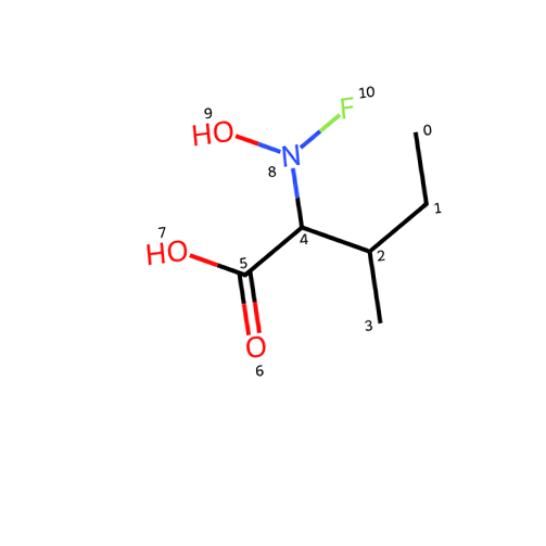 CCC(C)C(C(=O)O)N(O)F